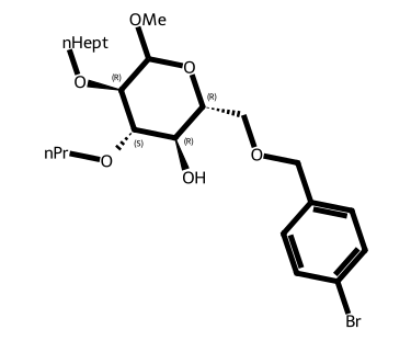 CCCCCCCO[C@H]1C(OC)O[C@H](COCc2ccc(Br)cc2)[C@@H](O)[C@@H]1OCCC